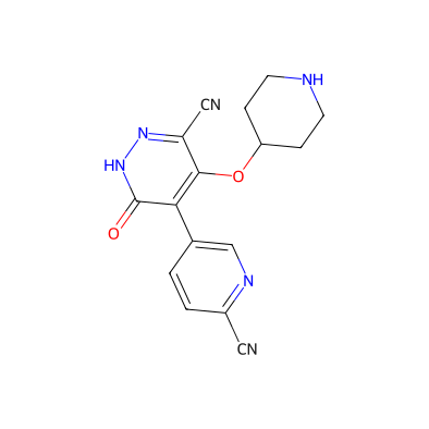 N#Cc1ccc(-c2c(OC3CCNCC3)c(C#N)n[nH]c2=O)cn1